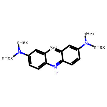 CCCCCCN(CCCCCC)c1ccc2nc3ccc(N(CCCCCC)CCCCCC)cc3[se+]c2c1.[I-]